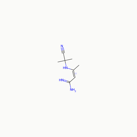 C/C(=C/C(=N)N)NC(C)(C)C#N